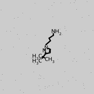 CC(C)(C)c1ccn(CCCCN)n1